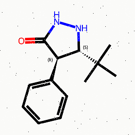 CC(C)(C)[C@H]1NNC(=O)[C@@H]1c1ccccc1